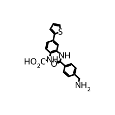 NCc1ccc(C(=O)Nc2cc(-c3cccs3)ccc2NC(=O)O)cc1